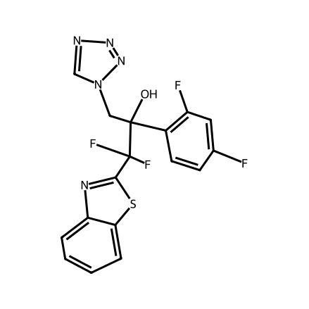 OC(Cn1cnnn1)(c1ccc(F)cc1F)C(F)(F)c1nc2ccccc2s1